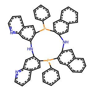 c1ccc(P2c3cc4ccccc4cc3Nc3cc4ccccc4cc3P(c3ccccc3)c3cc4cccnc4cc3Nc3cc4ncccc4cc32)cc1